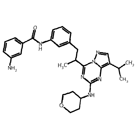 CC(C)c1cnn2c(C(C)Cc3cccc(NC(=O)c4cccc(N)c4)c3)nc(NC3CCOCC3)nc12